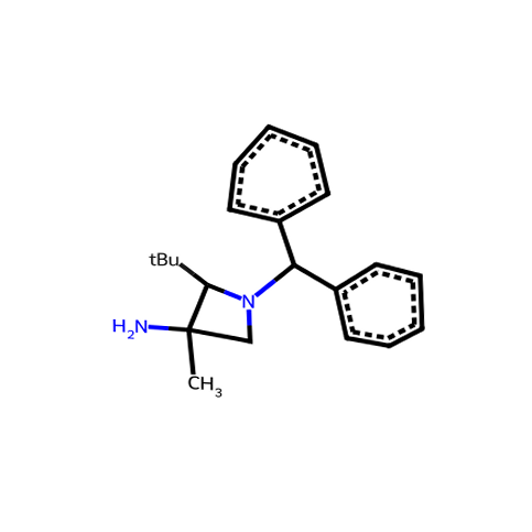 CC(C)(C)C1N(C(c2ccccc2)c2ccccc2)CC1(C)N